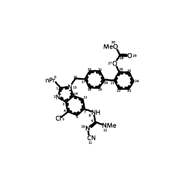 CCCc1nc2c(Cl)cc(NC(=NC#N)NC)cc2n1Cc1ccc(-c2ccccc2OC(=O)OC)cc1